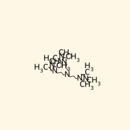 CC1=CN(CCCN(CCCN2C=C(C)N(C)C2C)CCCN2C=C(C)N(C)C2C)C(C)N1C